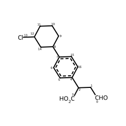 O=CCC(C(=O)O)c1ccc(C2CCCC(Cl)C2)cc1